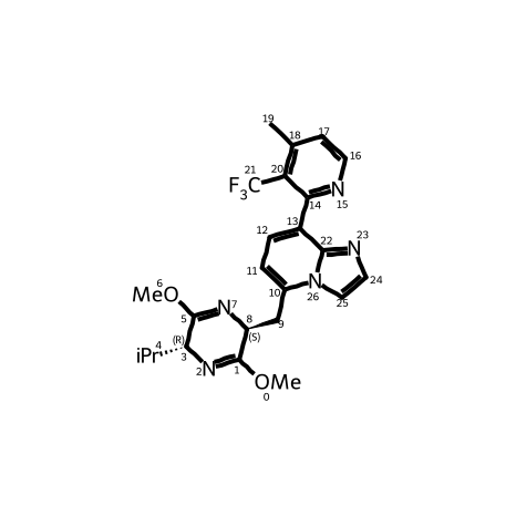 COC1=N[C@H](C(C)C)C(OC)=N[C@H]1Cc1ccc(-c2nccc(C)c2C(F)(F)F)c2nccn12